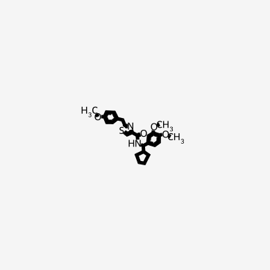 COc1ccc(Cc2nc(C(=O)NC(c3ccc(OC)c(OC)c3)C3CCCC3)cs2)cc1